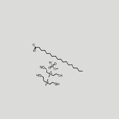 CCCCCCCCCCCCCCCCCC(=O)[O-].COS(=O)(=O)[O-].C[N+](C)(CCO)CCO.C[N+](C)(CCO)CCO